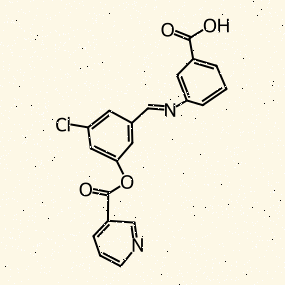 O=C(O)c1cccc(N=Cc2cc(Cl)cc(OC(=O)c3cccnc3)c2)c1